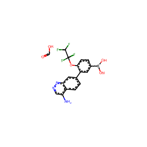 Nc1cnnc2cc(-c3cc(B(O)O)ccc3OC(F)(F)C(F)F)ccc12.O=CO